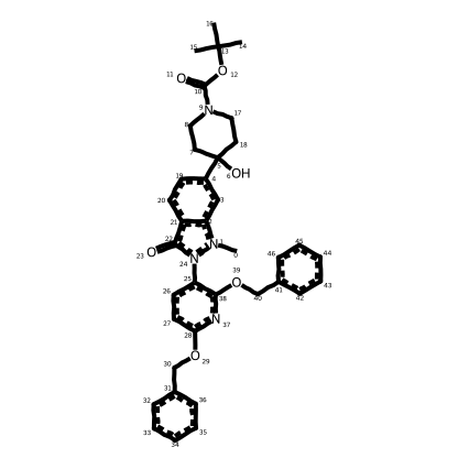 Cn1c2cc(C3(O)CCN(C(=O)OC(C)(C)C)CC3)ccc2c(=O)n1-c1ccc(OCc2ccccc2)nc1OCc1ccccc1